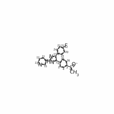 C[S+]([O-])c1ccc(-c2[nH]c(-c3cccnc3)nc2-c2ccc(F)cc2)cc1